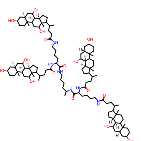 CC(CCCCNC(=O)C(CCCCNC(=O)CCC(C)C1CC[C@H]2[C@@H]3C(O)C[C@@H]4C[C@H](O)CCC4(C)C3CC(O)C12C)NC(=O)CCC(C)C1CC[C@H]2[C@@H]3C(O)C[C@@H]4C[C@H](O)CCC4(C)C3CC(O)C12C)NC(=O)C(CCCCNC(=O)CCC(C)C1CC[C@H]2[C@@H]3C(O)C[C@@H]4C[C@H](O)CCC4(C)C3CCC12C)NC(=O)CCC(C)C1CC[C@H]2[C@@H]3C(O)C[C@@H]4C[C@H](O)CCC4(C)C3CCC12C